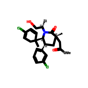 CC[C@@H](CO)N1C(=O)[C@@](C)(CC(=O)OC)C[C@H](c2cccc(Cl)c2)[C@H]1C1(C)C=CC(Cl)=CC1